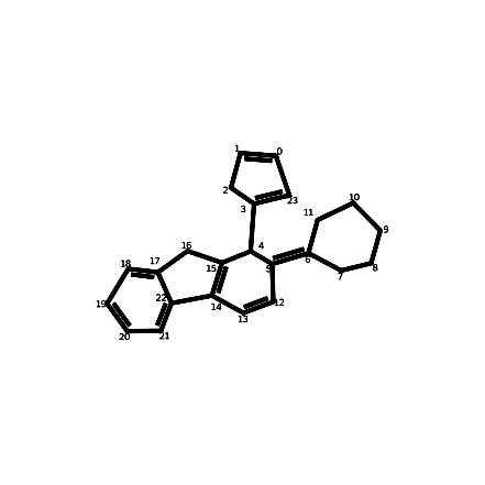 C1=CCC(C2C(=C3CCCCC3)C=CC3=C2Cc2ccccc23)=C1